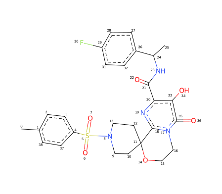 Cc1ccc(S(=O)(=O)N2CCC3(CC2)OCCn2c3nc(C(=O)NC(C)c3ccc(F)cc3)c(O)c2=O)cc1